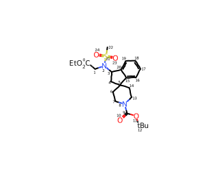 CCOC(=O)CN(C1CC2(CCN(C(=O)OC(C)(C)C)CC2)c2ccccc21)S(C)(=O)=O